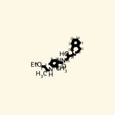 CCOCCC(C)Nc1cccc(C(=O)NCC(O)CN2CCc3ccccc3C2)c1C